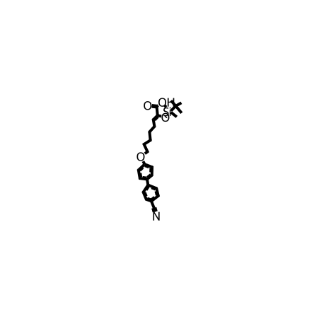 CC(C)(C)[Si](C)(C)OC(=CCCCCCOc1ccc(-c2ccc(C#N)cc2)cc1)C(=O)O